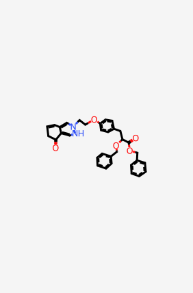 O=C1CC=CC2=CN(CCOc3ccc(CC(OCc4ccccc4)C(=O)OCc4ccccc4)cc3)NC=C12